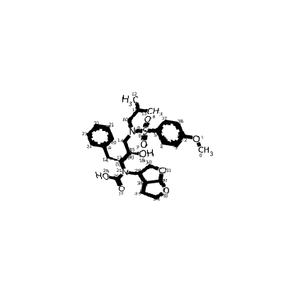 COc1ccc(S(=O)(=O)N(CC(C)C)C[C@@H](O)[C@H](Cc2ccccc2)N(C(=O)O)C2COC3OCCC32)cc1